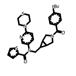 CC(C)(C)c1ccc(C(=O)N2CC3C(C2)C3CN(C(=O)c2cccs2)c2ccc(N3CCSCC3)nc2)cc1